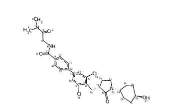 CN(C)C(=O)CNC(=O)c1ccc(-c2cc(Cl)c(C[C@@H]3CCN([C@H]4CC[C@H](O)CC4)C3=O)c(Cl)c2)cc1